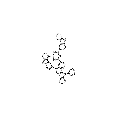 c1ccc(-c2nc(-c3ccc4sc5ccccc5c4c3)nc(-c3cccc4oc5ccc(-c6ccc7c(c6)c6ccccc6n7-c6ccccc6)cc5c34)n2)cc1